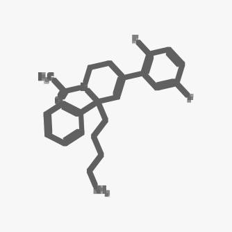 CC(=O)N1CCC(c2cc(F)ccc2F)=CC1(CCCCN)c1ccccc1